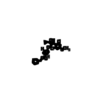 COc1cc(Cl)c(-c2noc(C3CC3)c2CO[C@@H]2C[C@@H]3C[C@H]2CN3C(=O)OCc2ccccc2)c(Cl)c1